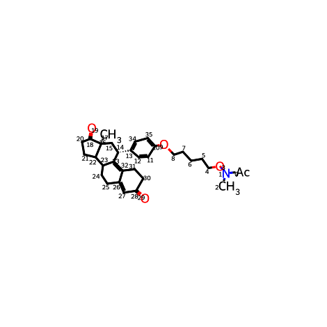 CC(=O)N(C)OCCCCCOc1ccc([C@H]2C[C@]3(C)C(=O)CCC3C3CCC4=CC(=O)CCC4=C32)cc1